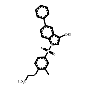 CCOC(=O)COc1ccc(S(=O)(=O)n2cc(C=O)c3cc(-c4ccccc4)ccc32)cc1C